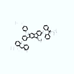 Cc1ccc(-n2c3ccc(N4c5ccccc5C(C)(C)c5ccccc54)cc3c3cc4c(cc32)-c2ccc(N3c5ccccc5C(C)(C)c5ccccc53)cc2C4(C)C)cc1